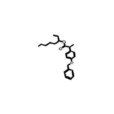 CCCCCC(CC)OC(=O)C(C)c1ccc(OCc2ccccc2)cc1